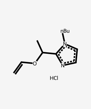 C=COC(C)c1nccn1CCCC.Cl